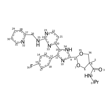 CC(C)NC(=O)C1(C)COC(c2nc(-c3ccc(F)cc3)c(-c3ccnc(NCc4ccccn4)n3)[nH]2)OC1